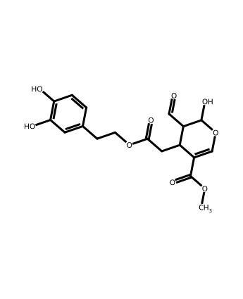 COC(=O)C1=COC(O)C(C=O)C1CC(=O)OCCc1ccc(O)c(O)c1